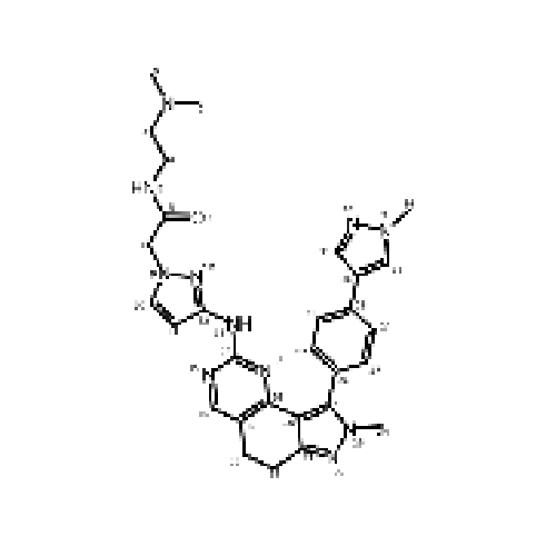 CN(C)CCNC(=O)Cn1ccc(Nc2ncc3c(n2)-c2c(nn(C)c2-c2ccc(-c4cnn(C)c4)cc2)CC3)n1